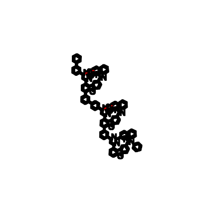 c1ccc(-c2cccc(-c3cc(-c4ccc(-c5cccc(-c6ccc(-c7cc(-c8ccc(-c9cccc(-c%10cc(-c%11cccc%12oc%13ccc(-c%14nc%15ccccc%15n%14-c%14ccccc%14)cc%13c%11%12)nc(-c%11ccccc%11)n%10)c9)c9oc%10ccc(-c%11nc%12ccccc%12n%11-c%11ccccc%11)cc%10c89)nc(-c8ccccc8)n7)cc6)c5)c5oc6ccc(-c7nc8ccccc8n7-c7ccccc7)cc6c45)nc(-c4ccccc4)n3)c2)cc1